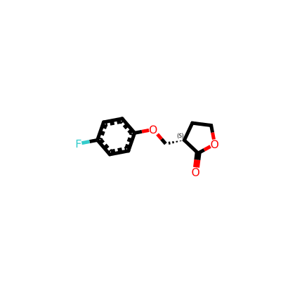 O=C1OCC[C@H]1COc1ccc(F)cc1